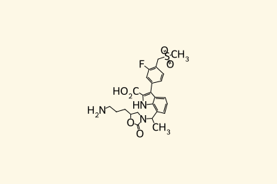 CC(c1cccc2c(-c3ccc(CS(C)(=O)=O)c(F)c3)c(C(=O)O)[nH]c12)N1CC(CCCN)OC1=O